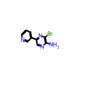 Nc1ncc(-c2cccnc2)nc1Br